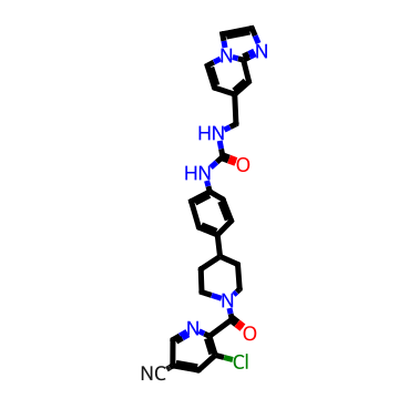 N#Cc1cnc(C(=O)N2CCC(c3ccc(NC(=O)NCc4ccn5ccnc5c4)cc3)CC2)c(Cl)c1